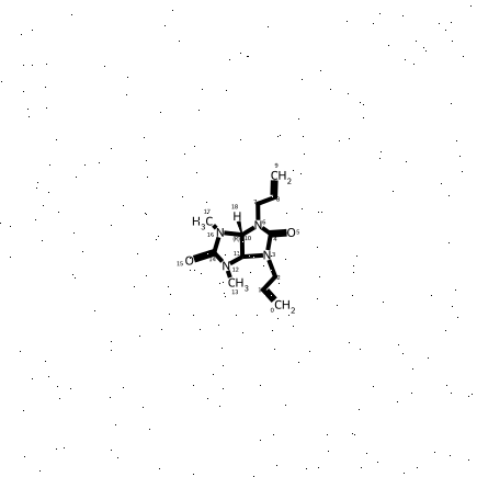 C=CCN1C(=O)N(CC=C)[C@@H]2C1N(C)C(=O)N2C